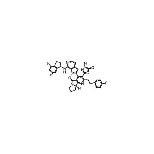 O=C1c2c(nc(CCc3ccc(F)cc3)c(-c3n[nH]c(=O)o3)c2-c2cc3ccnc(N[C@@H]4CCc5c(F)cc(F)cc54)c3s2)[C@@H]2CCCN12